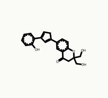 O=C1CC(CO)(CO)Oc2ccc(C3=CC(c4ccccc4O)=CC3)cc21